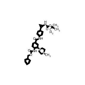 CN1CCN(c2cc(C(=O)Nc3ccc(C4CC4NC(=O)OC(C)(C)C)cc3)ccc2NC(=O)OCc2ccccc2)CC1